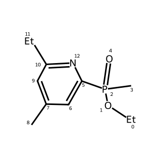 CCOP(C)(=O)c1cc(C)cc(CC)n1